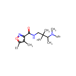 CCCN(C)C(C)C(C)(CCC)CNC(=O)c1noc(CC)c1C